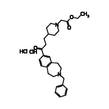 CCOC(=O)CN1CCC(CCC(=O)c2ccc3c(c2)CCN(Cc2ccccc2)CC3)CC1.Cl.Cl